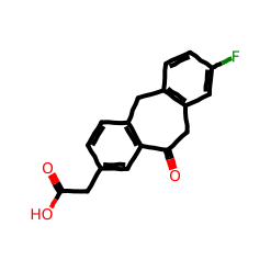 O=C(O)Cc1ccc2c(c1)C(=O)Cc1cc(F)ccc1C2